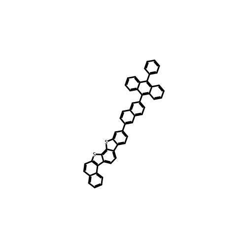 c1ccc(-c2c3ccccc3c(-c3ccc4cc(-c5ccc6c(c5)sc5c6ccc6c5sc5ccc7ccccc7c56)ccc4c3)c3ccccc23)cc1